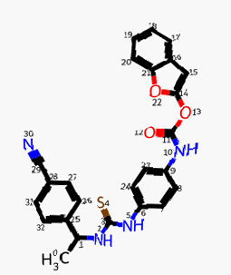 CC(NC(=S)Nc1ccc(NC(=O)Oc2cc3ccccc3o2)cc1)c1ccc(C#N)cc1